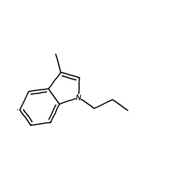 CCCn1cc(C)c2c[c]ccc21